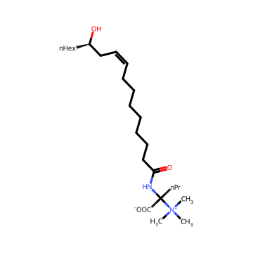 CCCCCC[C@@H](O)C/C=C\CCCCCCCC(=O)NC(CCC)(C(=O)[O-])[N+](C)(C)C